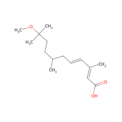 COC(C)(C)CCC(C)CC=CC(C)=CC(=O)O